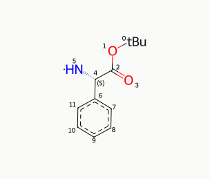 CC(C)(C)OC(=O)[C@@H]([NH])c1ccccc1